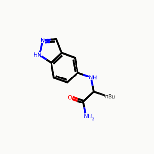 CCCCC(Nc1ccc2[nH]ncc2c1)C(N)=O